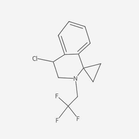 FC(F)(F)CN1CC(Cl)c2ccccc2C12CC2